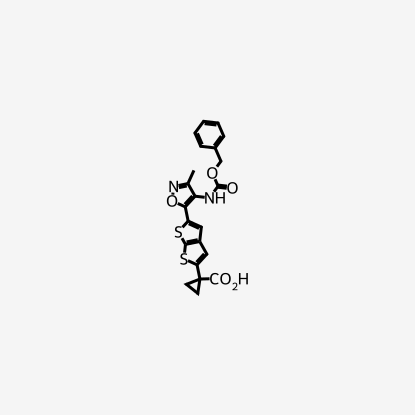 Cc1noc(-c2cc3cc(C4(C(=O)O)CC4)sc3s2)c1NC(=O)OCc1ccccc1